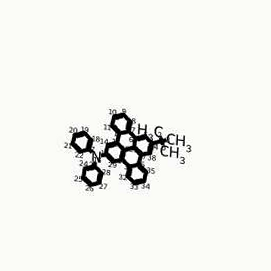 CC(C)(C)c1cc2c3ccccc3c3cc(N(c4ccccc4)c4ccccc4)cc4c5ccccc5c(c1)c2c34